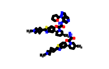 C[C@H]1CC[C@H](c2ccc3sc(C4CC5(C4)CN(C)C5)nc3c2)N(C(=O)C(=O)Nc2cncc3cnn(C4CCCCO4)c23)C1.C[C@H]1CC[C@H](c2ccc3sc(C4CC5(C4)CN(C)C5)nc3c2)N(C(=O)C(N)=O)C1